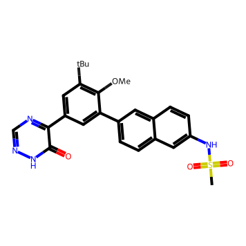 COc1c(-c2ccc3cc(NS(C)(=O)=O)ccc3c2)cc(-c2ncn[nH]c2=O)cc1C(C)(C)C